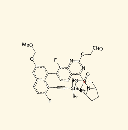 COCOc1cc(-c2ccc3c(N4CC5CCC(C4)N5C(=O)OC(C)(C)C)nc(OCC=O)nc3c2F)c2c(C#C[Si](C(C)C)(C(C)C)C(C)C)c(F)ccc2c1